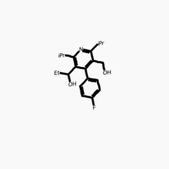 CCC(O)c1c(C(C)C)nc(C(C)C)c(CO)c1-c1ccc(F)cc1